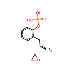 C1CO1.C=CCc1ccccc1OP(=O)(O)O